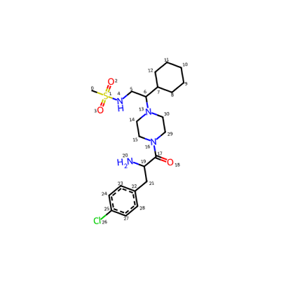 CS(=O)(=O)NCC(C1CCCCC1)N1CCN(C(=O)C(N)Cc2ccc(Cl)cc2)CC1